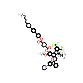 CCCCCC1CCC(c2ccc(-c3ccc(OC(=O)C4CCC(C(=O)Oc5cc6c7c(c8c(c6cc5OC)OC(c5ccccc5)(c5ccc(N6CCCCC6)cc5)C=C8)C(C)(C)c5c-7cc(C(F)(F)F)cc5C(F)(F)F)CC4)cc3)cc2)CC1